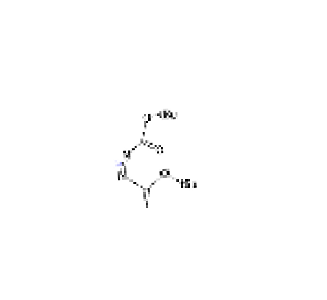 C=C(/N=N\C(=O)OC(C)(C)C)OC(C)(C)C